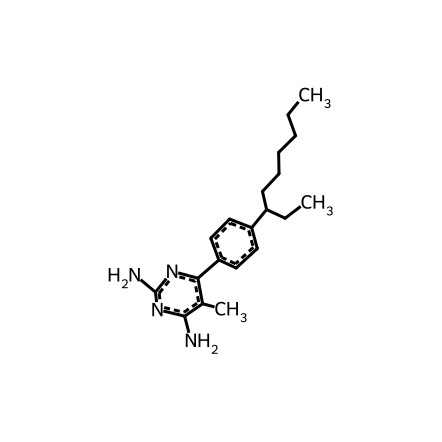 CCCCCCC(CC)c1ccc(-c2nc(N)nc(N)c2C)cc1